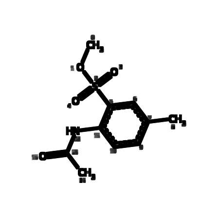 COS(=O)(=O)c1cc(C)ccc1NC(C)=O